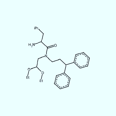 CCOC(CN(CCC(c1ccccc1)c1ccccc1)C(=O)C(N)CC(C)C)OCC